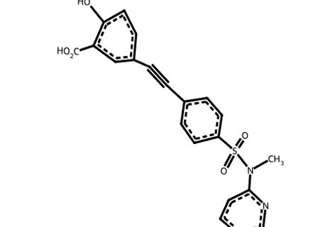 CN(c1ccccn1)S(=O)(=O)c1ccc(C#Cc2ccc(O)c(C(=O)O)c2)cc1